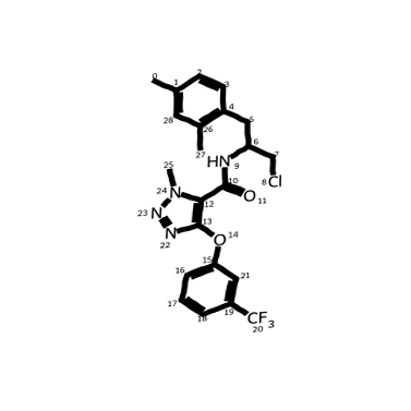 Cc1ccc(CC(CCl)NC(=O)c2c(Oc3cccc(C(F)(F)F)c3)nnn2C)c(C)c1